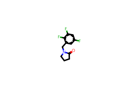 O=C1CCCN1Cc1cc(F)cc(F)c1F